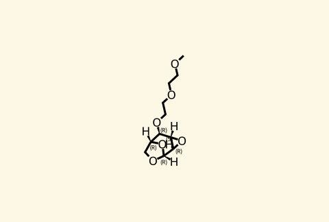 COCCOCCO[C@H]1[C@@H]2O[C@H]2[C@@H]2OC[C@H]1O2